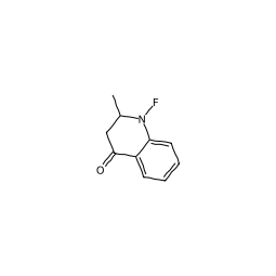 CC1CC(=O)c2ccccc2N1F